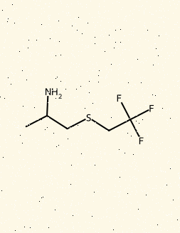 CC(N)CSCC(F)(F)F